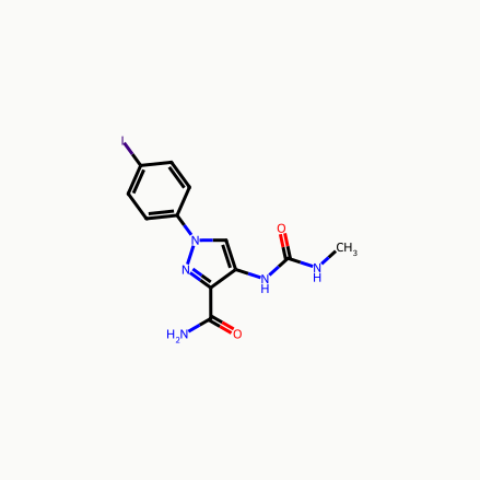 CNC(=O)Nc1cn(-c2ccc(I)cc2)nc1C(N)=O